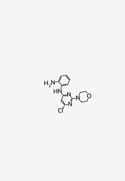 Nc1ccccc1Nc1cc(Cl)nc(N2CCOCC2)n1